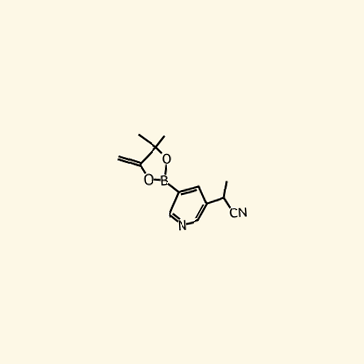 C=C1OB(c2cncc(C(C)C#N)c2)OC1(C)C